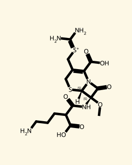 CO[C@@]1(NC(=O)C(CCCN)C(=O)O)C(=O)N2C(C(=O)O)=C(C[S+]=C(N)N)CS[C@H]21